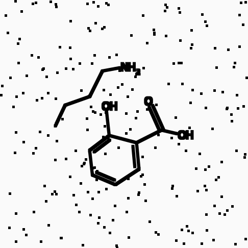 CCCCN.O=C(O)c1ccccc1O